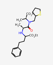 CCOC(=O)C(CCc1ccccc1)N[C@@H](C)C(=O)N(CC1CCCS1)[C@@H](C)C(=O)O